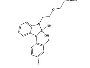 CNCCOCCN1c2ccccc2N(c2ccc(F)cc2F)S1(O)O